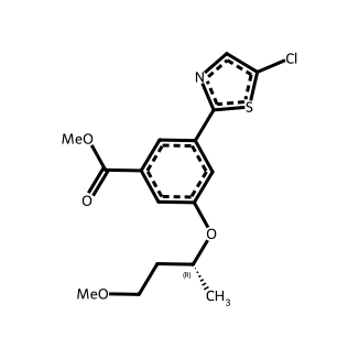 COCC[C@@H](C)Oc1cc(C(=O)OC)cc(-c2ncc(Cl)s2)c1